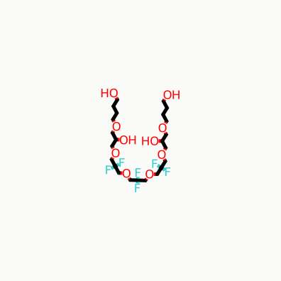 OCCCCOCC(O)COCC(F)(F)COCC(F)(F)COCC(F)(F)COCC(O)COCCCCO